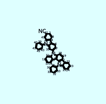 N#Cc1ccc2c3ccc(-n4c5ccccc5c5c4ccc4c6ccccc6n(-c6ccccc6)c45)cc3n(-c3ccccc3)c2c1